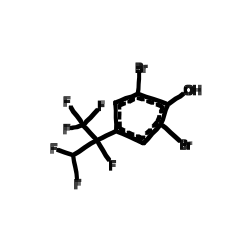 Oc1c(Br)cc(C(F)(C(F)F)C(F)(F)F)cc1Br